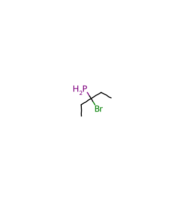 CCC(P)(Br)CC